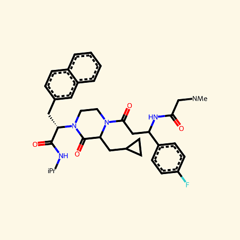 CNCC(=O)NC(CC(=O)N1CCN([C@@H](Cc2ccc3ccccc3c2)C(=O)NC(C)C)C(=O)C1CC1CC1)c1ccc(F)cc1